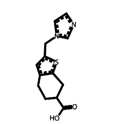 O=C(O)C1CCc2cc(Cn3ccnc3)sc2C1